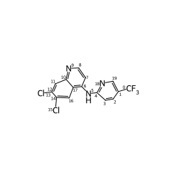 FC(F)(F)c1ccc(Nc2ccnc3cc(Cl)c(Cl)cc23)nc1